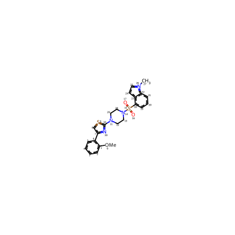 COc1ccccc1-c1csc(N2CCN(S(=O)(=O)c3cccc4c3ccn4C)CC2)n1